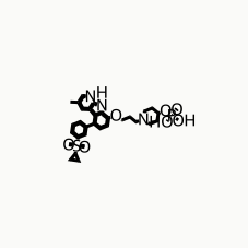 Cc1cnc2[nH]c3c(OCCCN4CCC(OP(=O)(O)O)CC4)ccc(-c4cccc(S(=O)(=O)C5CC5)c4)c3c2c1